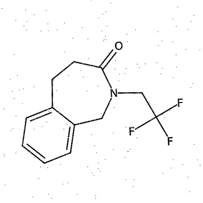 O=C1CCc2ccccc2CN1CC(F)(F)F